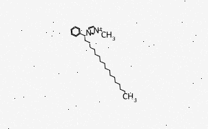 CCCCCCCCCCCCCCCCC[C@@H](c1ccccc1)n1cc[n+](CC)c1